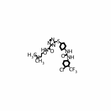 CN(C)CCONC(=O)c1ncnc(Sc2ccc(NC(=O)Nc3ccc(Cl)c(C(F)(F)F)c3)cc2)n1